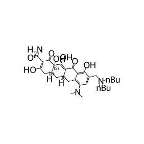 CCCCN(CCCC)Cc1cc(N(C)C)c2c(c1O)C(=O)C1=C(O)[C@]3(O)C(=O)C(C(N)=O)=C(O)C[C@@H]3C[C@@H]1C2